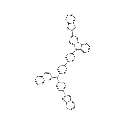 c1ccc2cc(N(c3ccc(-c4ccc(-n5c6ccccc6c6cc(-c7nc8ccccc8o7)ccc65)cc4)cc3)c3ccc(-c4nc5ccccc5o4)cc3)ccc2c1